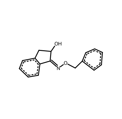 OC1Cc2ccccc2C1=NOCc1ccccc1